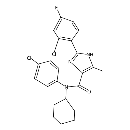 Cc1[nH]c(-c2ccc(F)cc2Cl)nc1C(=O)N(c1ccc(Cl)cc1)C1CCCCC1